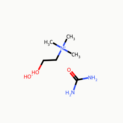 C[N+](C)(C)CCO.NC(N)=O.[OH-]